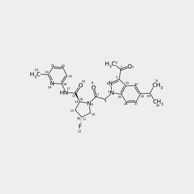 CC(=O)c1nn(CC(=O)N2C[C@H](F)C[C@H]2C(=O)Nc2cccc(C)n2)c2ccc(C(C)C)cc12